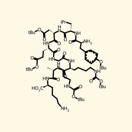 CC(C)C[C@H](NC(=O)[C@@H](N)Cc1ccc(OC(C)(C)C)cc1)C(=O)N[C@@H](CC(=O)OC(C)(C)C)C(=O)N[C@@H](CCC(=O)OC(C)(C)C)C(=O)N[C@@H](CCCCNC(=O)OC(C)(C)C)C(=O)N[C@@H](CCCCNC(=O)OC(C)(C)C)C(=O)N[C@@H](C)C(=O)N[C@@H](CCCCN)C(=O)O